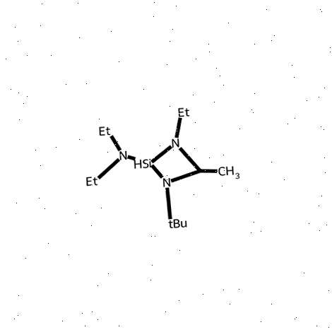 CCN(CC)[SiH]1N(CC)C(C)N1C(C)(C)C